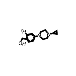 [2H]c1cc(N2CCN(C3CC3)CC2)ccc1CO